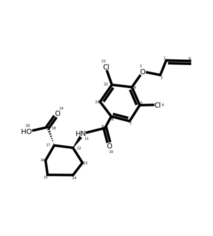 C=CCOc1c(Cl)cc(C(=O)N[C@H]2CCCC[C@@H]2C(=O)O)cc1Cl